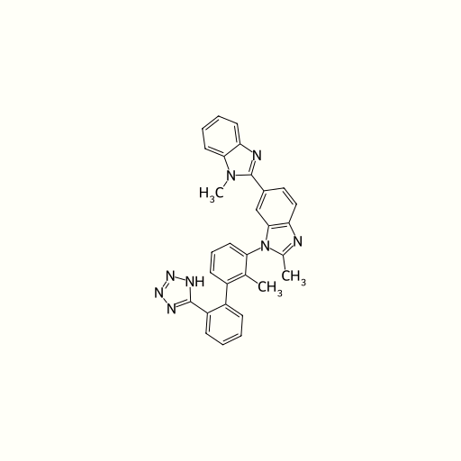 Cc1c(-c2ccccc2-c2nnn[nH]2)cccc1-n1c(C)nc2ccc(-c3nc4ccccc4n3C)cc21